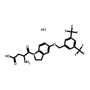 Cl.NC(CC(=O)O)C(=O)N1CCc2cc(OCc3cc(C(F)(F)F)cc(C(F)(F)F)c3)ccc21